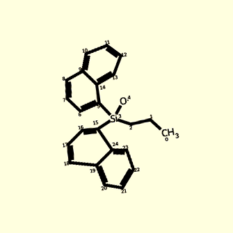 CCC[Si]([O])(c1cccc2ccccc12)c1cccc2ccccc12